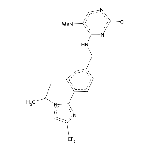 CNc1cnc(Cl)nc1NCc1ccc(-c2nc(C(F)(F)F)cn2C(C)I)cc1